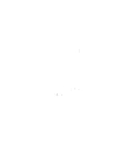 O=CC(O)(c1ccccc1)c1ccc(Cl)cc1